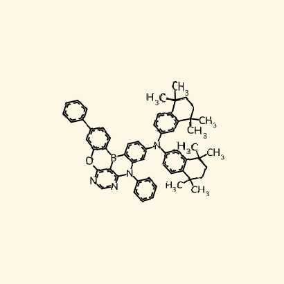 CC1(C)CCC(C)(C)c2cc(N(c3ccc4c(c3)N(c3ccccc3)c3ncnc5c3B4c3ccc(-c4ccccc4)cc3O5)c3ccc4c(c3)C(C)(C)CCC4(C)C)ccc21